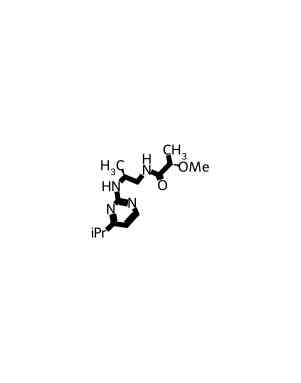 CO[C@@H](C)C(=O)NC[C@@H](C)Nc1nccc(C(C)C)n1